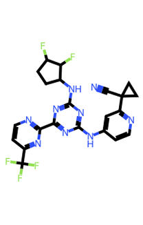 N#CC1(c2cc(Nc3nc(NC4CCC(F)C4F)nc(-c4nccc(C(F)(F)F)n4)n3)ccn2)CC1